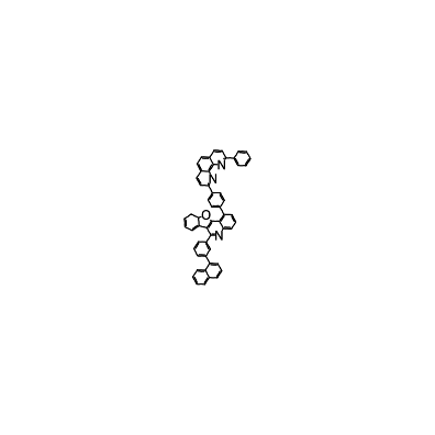 C1=CCC2Oc3c(c(-c4cccc(-c5cccc6ccccc56)c4)nc4cccc(-c5ccc(-c6ccc7ccc8ccc(-c9ccccc9)nc8c7n6)cc5)c34)C2=C1